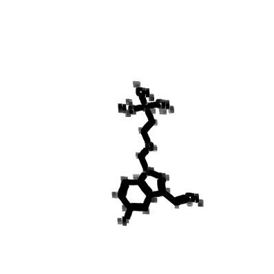 C=Cc1nn(COCC[Si](C)(C)C)c2ccc(F)cc12